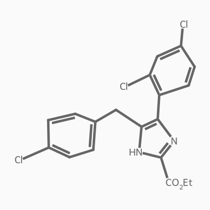 CCOC(=O)c1nc(-c2ccc(Cl)cc2Cl)c(Cc2ccc(Cl)cc2)[nH]1